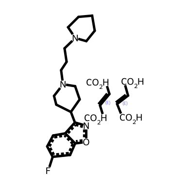 Fc1ccc2c(C3CCN(CCCN4CCCCC4)CC3)noc2c1.O=C(O)/C=C/C(=O)O.O=C(O)/C=C/C(=O)O